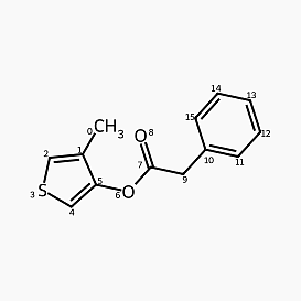 Cc1cscc1OC(=O)Cc1ccccc1